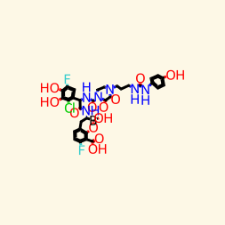 O=C(NCCCN1CCN(C(=O)NC(C(=O)N[C@H]2Cc3ccc(F)c(C(=O)O)c3OB2O)c2cc(F)c(O)c(O)c2Cl)C(=O)C1=O)Nc1ccc(O)cc1